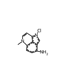 CN1C=Cc2c3c1ccc(N)c3cn2Cl